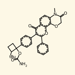 CN1C(=O)COc2c1ccc1c(=O)c(-c3ccc(C4(OC(N)=O)CCC4C(C)(C)C)cc3)c(-c3ccccc3)oc21